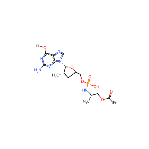 CCOc1nc(N)nc2c1ncn2[C@@H]1OC(CO[P@@](=O)(O)N[C@@H](C)COC(=O)C(C)C)C[C@@H]1C